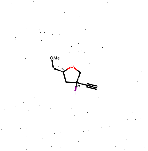 C#C[C@@]1(I)CO[C@H](COC)C1